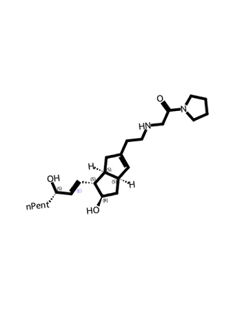 CCCCC[C@H](O)/C=C/[C@@H]1[C@H]2CC(CCNCC(=O)N3CCCC3)=C[C@H]2C[C@H]1O